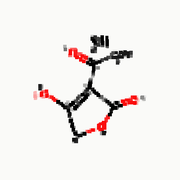 COC(=O)C1=C(O)COC1=O.[NaH]